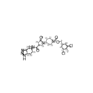 Cc1c(Cl)cc(COC(=O)N2CCC(N3CC(C(=O)Nc4ccc5[nH]nnc5c4)CC3=O)CC2)cc1Cl